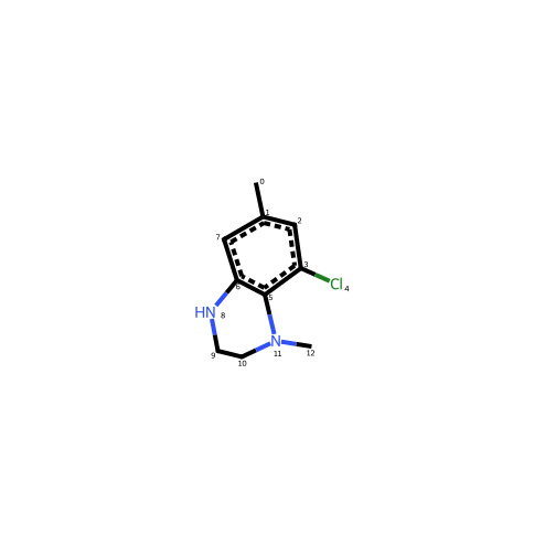 Cc1cc(Cl)c2c(c1)NCCN2C